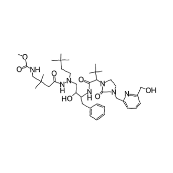 COC(=O)NCC(C)(C)CC(=O)NN(CCC(C)(C)C)CC(O)C(Cc1ccccc1)NC(=O)C(N1CCN(Cc2cccc(CO)n2)C1=O)C(C)(C)C